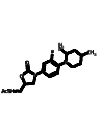 CC(=O)NCC1CN(c2ccc(N3CCC(C)CC3N)c(F)c2)C(=O)O1